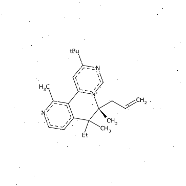 C=CC[C@@]1(C)[n+]2cnc(C(C)(C)C)cc2-c2c(ccnc2C)C1(C)CC